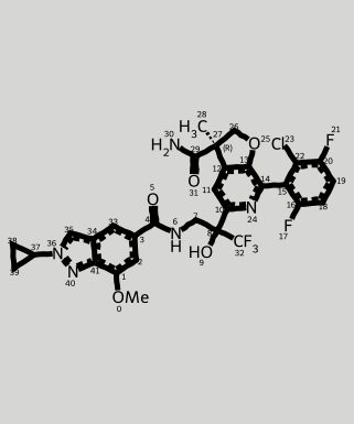 COc1cc(C(=O)NCC(O)(c2cc3c(c(-c4c(F)ccc(F)c4Cl)n2)OC[C@]3(C)C(N)=O)C(F)(F)F)cc2cn(C3CC3)nc12